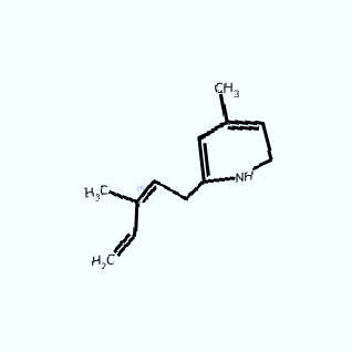 C=C/C(C)=C\CC1=CC(C)=CCN1